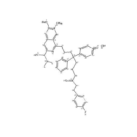 CCCC(c1cc2cc(OC)c(OC)cc2c(CCCC(CCCC(=O)CCc2ccc(F)cc2)(c2ccccc2)c2ccccc2)n1)N(C)C.Cl.Cl